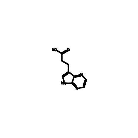 O=C(O)CCc1c[nH]c2nccnc12